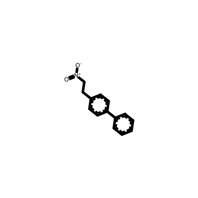 O=[N+]([O-])CCc1ccc(-c2ccccc2)cc1